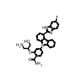 NCC(CO)Oc1cc(-n2c3ccccc3c3c(-c4nc5ccc(F)cc5[nH]4)cccc32)ccc1C(N)=O